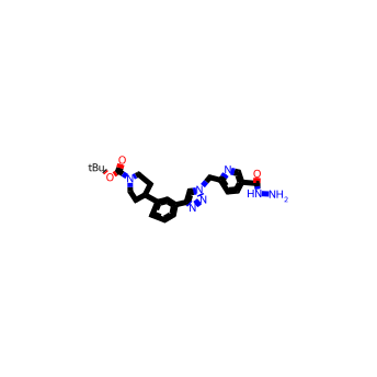 CC(C)(C)OC(=O)N1CCC(c2cccc(-c3cn(Cc4ccc(C(=O)NN)cn4)nn3)c2)CC1